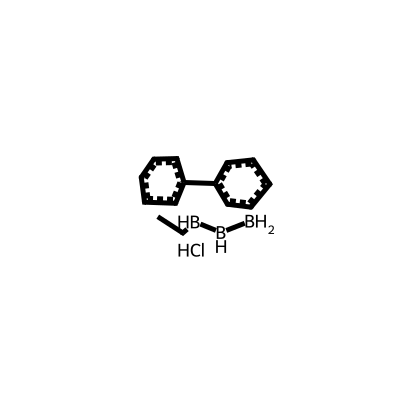 BBBCC.Cl.c1ccc(-c2ccccc2)cc1